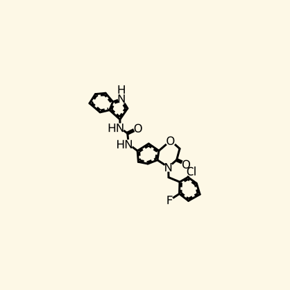 O=C(Nc1ccc2c(c1)OCC(=O)N2Cc1c(F)cccc1Cl)Nc1c[nH]c2ccccc12